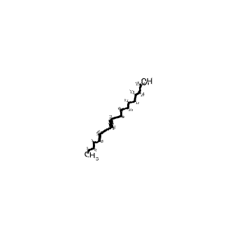 CCCCCCC=CCCCCCCCCO